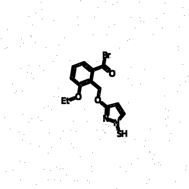 CCOc1cccc(C(=O)Br)c1COc1ccn(S)n1